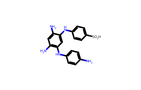 Nc1ccc(Nc2cc(Nc3ccc(S(=O)(=O)O)cc3)c(N)cc2N)cc1